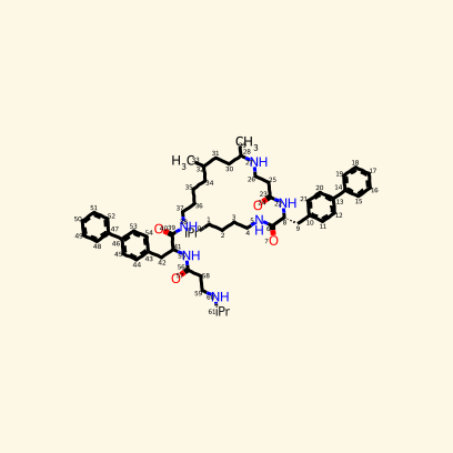 CC(C)CCCCNC(=O)[C@@H](Cc1ccc(-c2ccccc2)cc1)NC(=O)CCNC(C)CCC(C)CCCCNC(=O)C(Cc1ccc(-c2ccccc2)cc1)NC(=O)CCNC(C)C